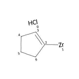 Cl.[Zr][C]1=CCCC1